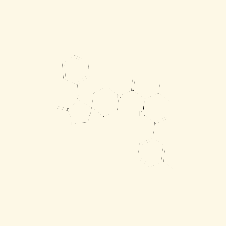 Cc1cccc(C(=O)N[C@@H](C(=O)N2CCC3(CC2)COC(=O)N3c2ccccc2)C(C)C)c1